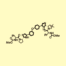 COC(=O)N[C@H](C(=O)N1CCC[C@H]1c1ncc(-c2cccc(Oc3ccc(-c4cnc([C@@H]5C[Si](C)(C)CN5C(=O)[C@@H](NC(=O)OC)C(C)C)[nH]4)cc3)c2)[nH]1)C(C)C